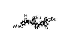 COc1ccc2[nH]cc(C[C@H](COc3cncc(-c4ccc5c(c4)c(C)nn5C(=O)OC(C)(C)C)c3)NC(=O)OC(C)(C)C)c2c1